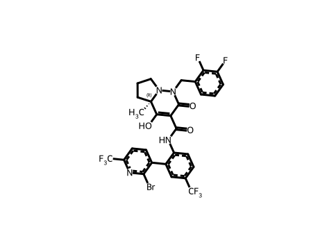 C[C@]12CCCN1N(Cc1cccc(F)c1F)C(=O)C(C(=O)Nc1ccc(C(F)(F)F)cc1-c1ccc(C(F)(F)F)nc1Br)=C2O